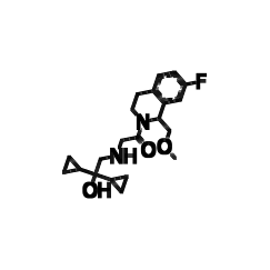 COCC1c2cc(F)ccc2CCN1C(=O)CNCC(O)(C1CC1)C1CC1